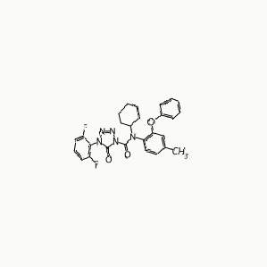 Cc1ccc(N(C(=O)n2nnn(-c3c(F)cccc3F)c2=O)C2CCCCC2)c(Oc2ccccc2)c1